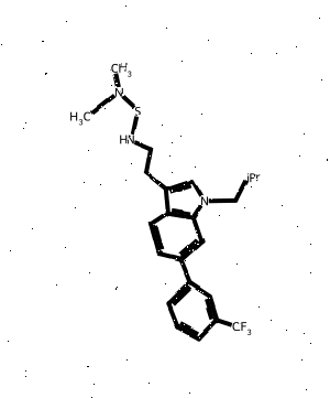 CC(C)Cn1cc(CCNSN(C)C)c2ccc(-c3cccc(C(F)(F)F)c3)cc21